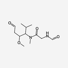 COC(CC=O)C(C(C)C)N(C)C(=O)CNC=O